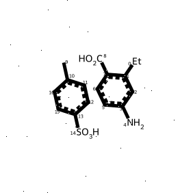 CCc1cc(N)ccc1C(=O)O.Cc1ccc(S(=O)(=O)O)cc1